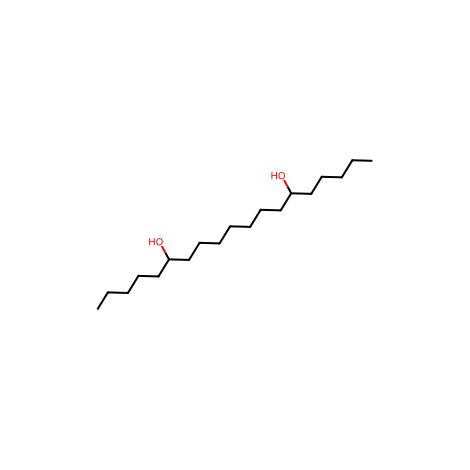 CCCCCC(O)CCCCCCCC(O)CCCCC